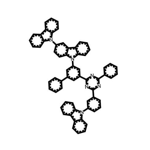 c1ccc(-c2cc(-c3nc(-c4ccccc4)nc(-c4cccc(-n5c6ccccc6c6ccccc65)c4)n3)cc(-n3c4ccccc4c4cc(-n5c6ccccc6c6ccccc65)ccc43)c2)cc1